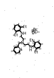 CCc1cccc(CC)c1NCCN(CCNc1c(CC)cccc1CC)Cc1ccccn1.[Br-].[Br-].[Co+2]